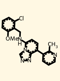 COc1cccc(Cl)c1CNc1ccc(-c2cccnc2C)c2nncn12